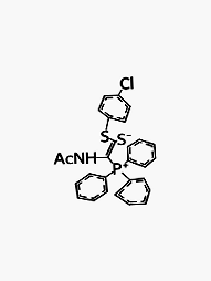 CC(=O)NC(=C([S-])Sc1ccc(Cl)cc1)[P+](c1ccccc1)(c1ccccc1)c1ccccc1